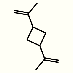 C=C(C)C1CC(C(=C)C)C1